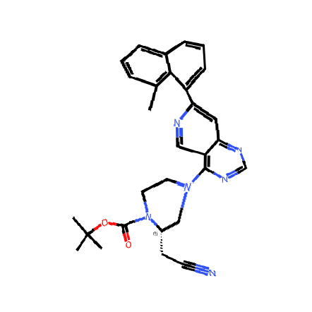 Cc1cccc2cccc(-c3cc4ncnc(N5CCN(C(=O)OC(C)(C)C)[C@@H](CC#N)C5)c4cn3)c12